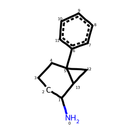 NC1CCCC2(c3ccccc3)CC12